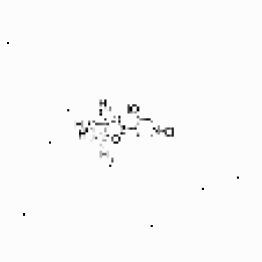 CC1(C)OB(C2CCN(Cl)CC2O)OC1(C)C